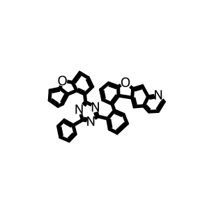 c1ccc(-c2nc(-c3ccccc3-c3cccc4oc5cc6ncccc6cc5c34)nc(-c3cccc4oc5ccccc5c34)n2)cc1